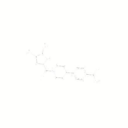 NC(=O)c1ccc(C2CCN(C(=O)C3CC(O)C(O)C3)CC2)cc1